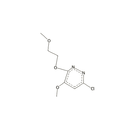 COCCOc1nnc(Cl)cc1OC